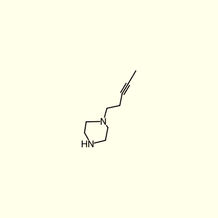 CC#CCCN1CCNCC1